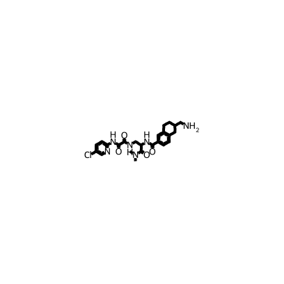 CN(C)C(=O)C(CNC(=O)C(=O)Nc1ccc(Cl)cn1)NC(=O)c1ccc2c(c1)CCC(CN)C2